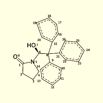 O=C1CCCN1[C@@H](O)C(c1ccccc1)(c1ccccc1)c1ccccc1